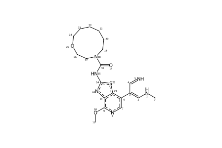 CN/C=C(\C=N)c1cnc(OC)c2nc(NC(=O)N3CCCCCCOCC3)sc12